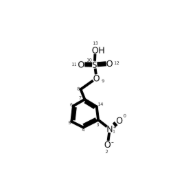 O=[N+]([O-])c1cccc(COS(=O)(=O)O)c1